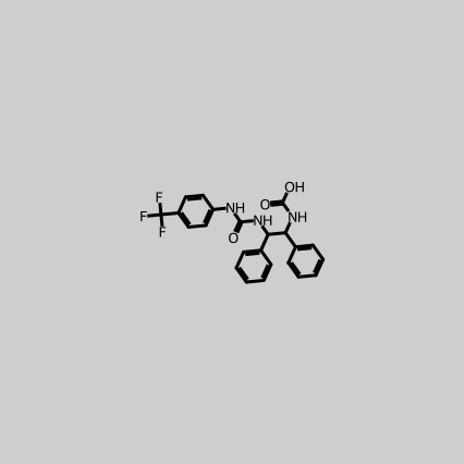 O=C(O)NC(c1ccccc1)C(NC(=O)Nc1ccc(C(F)(F)F)cc1)c1ccccc1